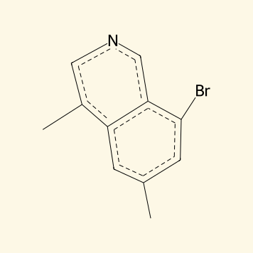 Cc1cc(Br)c2cncc(C)c2c1